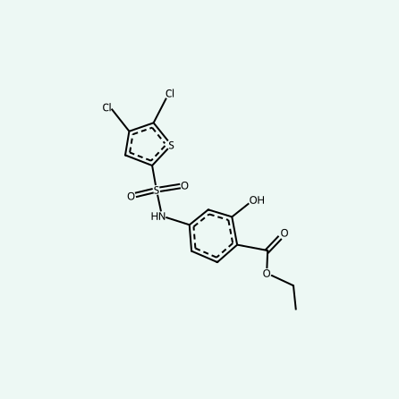 CCOC(=O)c1ccc(NS(=O)(=O)c2cc(Cl)c(Cl)s2)cc1O